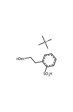 CCCCCCCCCCCCc1ccccc1S(=O)(=O)O.C[N+](C)(C)C